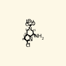 CC(C)(C)OC(=O)N1Cc2ccc(Cl)nc2C(N)C1